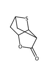 O=C1OC2CC3CC1C2S3